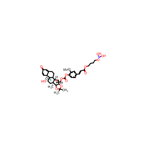 COc1cc(/C=C/C(=O)OCCCCON(O)O)ccc1OC(=O)OCC(=O)[C@@]12OC(C)(C)O[C@@H]1C[C@H]1C3CCC4=CC(=O)C=C[C@]4(C)[C@@]3(F)[C@@H](O)C[C@@]12C